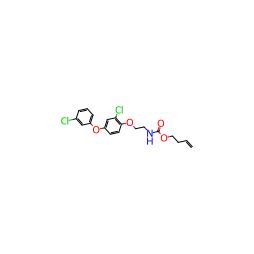 C=CCCOC(=O)NCCOc1ccc(Oc2cccc(Cl)c2)cc1Cl